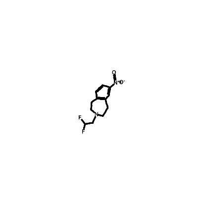 O=[N+]([O-])c1ccc2c(c1)CCN(CC(F)F)CC2